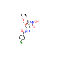 CCOCOCC(CC(C)C(=O)NO)NC(=O)c1ccc(Br)cc1